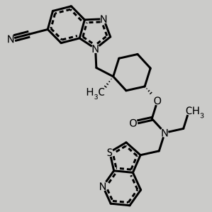 CCN(Cc1csc2ncccc12)C(=O)O[C@H]1CCC[C@](C)(Cn2cnc3ccc(C#N)cc32)C1